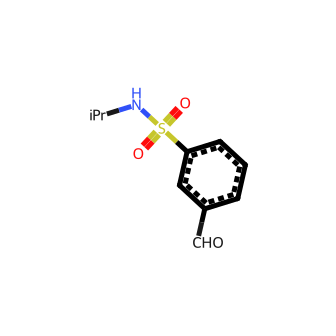 CC(C)NS(=O)(=O)c1cccc(C=O)c1